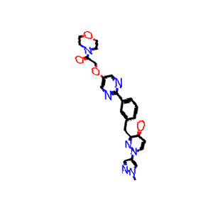 Cn1cc(-n2ccc(=O)c(Cc3cccc(-c4ncc(OCC(=O)N5CCOCC5)cn4)c3)n2)cn1